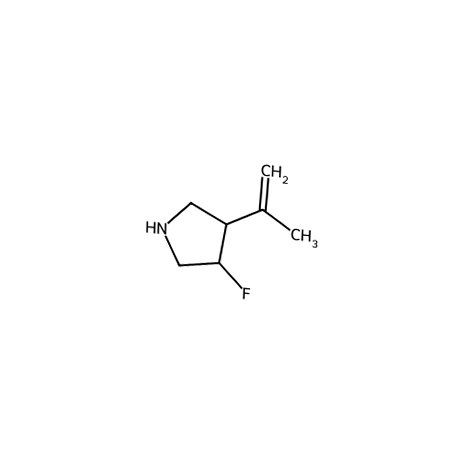 C=C(C)C1CNCC1F